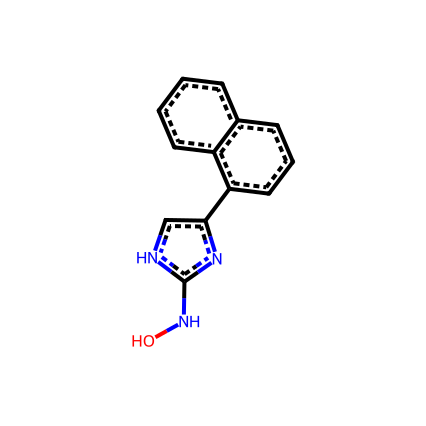 ONc1nc(-c2cccc3ccccc23)c[nH]1